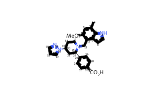 COc1cc(C)c2[nH]ccc2c1CN1CC[C@@H](n2cccn2)C[C@H]1c1ccc(C(=O)O)cc1